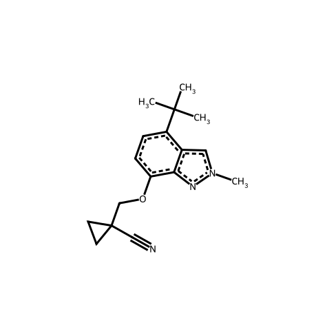 Cn1cc2c(C(C)(C)C)ccc(OCC3(C#N)CC3)c2n1